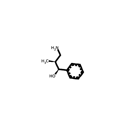 C[C@@H](CN)[C@H](O)c1ccccc1